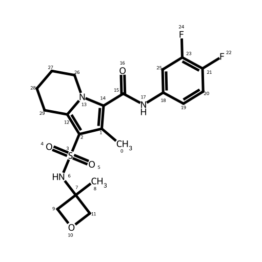 Cc1c(S(=O)(=O)NC2(C)COC2)c2n(c1C(=O)Nc1ccc(F)c(F)c1)CCCC2